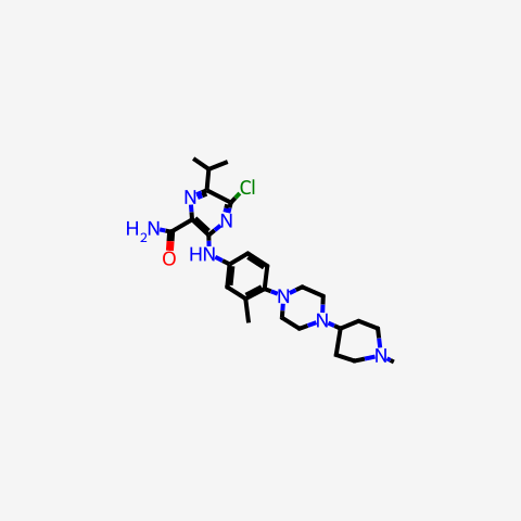 Cc1cc(Nc2nc(Cl)c(C(C)C)nc2C(N)=O)ccc1N1CCN(C2CCN(C)CC2)CC1